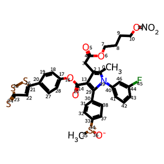 Cc1c(CC(=O)OCCCCO[N+](=O)[O-])c(C(=O)Oc2ccc(-c3cc(=S)ss3)cc2)c(-c2ccc([S+](C)[O-])cc2)n1-c1cccc(F)c1